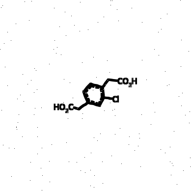 O=C(O)Cc1ccc(CC(=O)O)c(Cl)c1